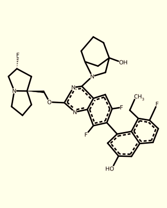 CCc1c(F)ccc2cc(O)cc(-c3c(F)cc4c(N5CC6(O)CCCC5C6)nc(OC[C@@]56CCCN5C[C@H](F)C6)nc4c3F)c12